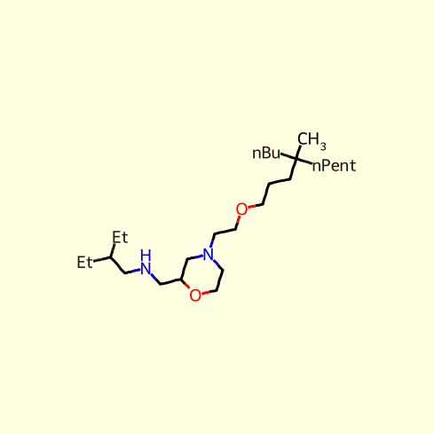 CCCCCC(C)(CCCC)CCCOCCN1CCOC(CNCC(CC)CC)C1